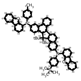 Cc1ccc(N(c2ccc3c4c(c5ccccc5c3c2)-c2ccc3cc(N(c5ccc([Si](C)(C)C)cc5)c5cccc6c5oc5ccccc56)ccc3c2C4(C(C)(C)C)C(C)(C)C)c2cccc3c2oc2ccccc23)cc1